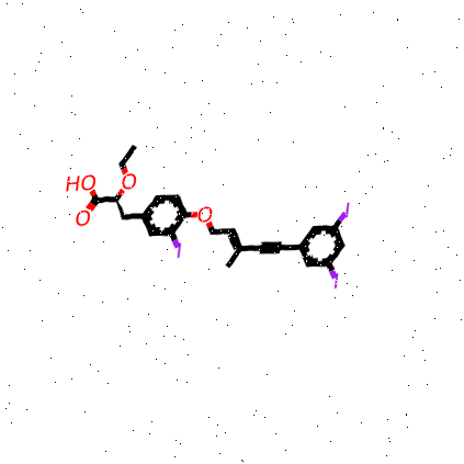 CCO[C@@H](Cc1ccc(OC/C=C(\C)C#Cc2cc(I)cc(I)c2)c(I)c1)C(=O)O